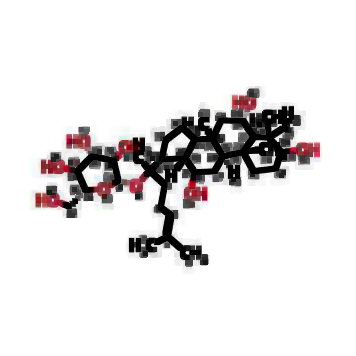 CC(C)=CCCC(C)(O[C@@H]1O[C@H](CO)[C@@H](O)[C@H](O)[C@H]1O)[C@H]1CCC2[C@@H]1[C@H](O)C[C@@H]1[C@@]3(C)CC[C@H](O)C(C)(C)[C@@H]3[C@@H](O)C[C@@]21C